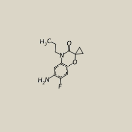 CCCN1C(=O)C2(CC2)Oc2cc(F)c(N)cc21